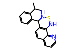 CC(C)c1ccccc1C1NSNc2c1ccc1cccnc21